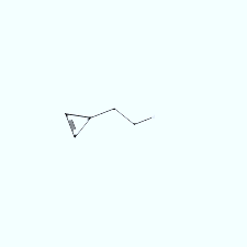 CCCC1C=C1